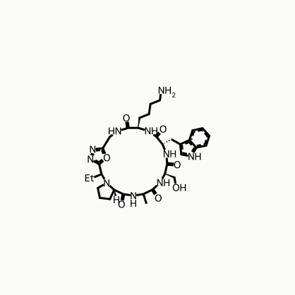 CCC1c2nnc(o2)CNC(=O)[C@@H](CCCCN)NC(=O)[C@H](Cc2c[nH]c3ccccc23)NC(=O)[C@@H](CO)NC(=O)C(C)NC(=O)[C@@H]2CCCN12